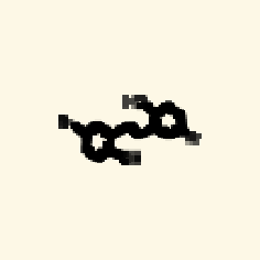 Oc1ccc(Br)cc1C=Cc1cc(Br)ccc1O